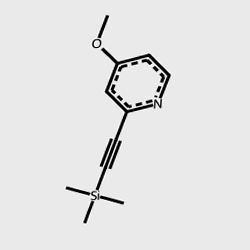 COc1ccnc(C#C[Si](C)(C)C)c1